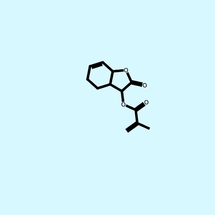 C=C(C)C(=O)OC1C(=O)OC2C=CCCC21